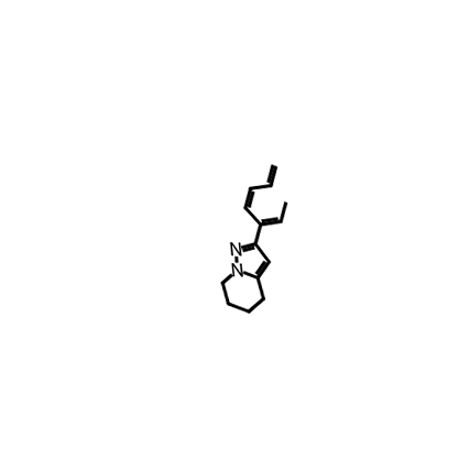 C=C/C=C\C(=C/C)c1cc2n(n1)CCCC2